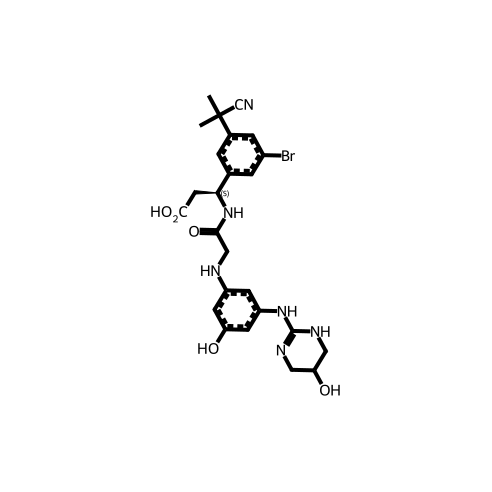 CC(C)(C#N)c1cc(Br)cc([C@H](CC(=O)O)NC(=O)CNc2cc(O)cc(NC3=NCC(O)CN3)c2)c1